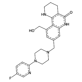 O=c1[nH]c2cc(CN3CCN(c4ccc(F)cn4)CC3)cc(CO)c2c2c1CCCN2